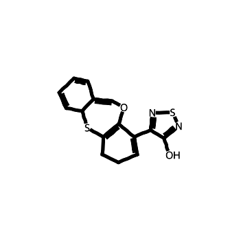 Oc1nsnc1C1=CCCC2=C1OC=C1C=CC=CC1S2